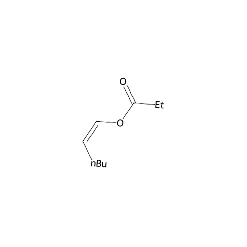 CCCC/C=C\OC(=O)CC